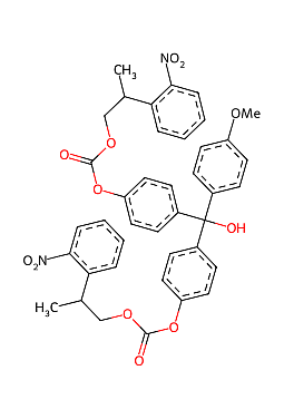 COc1ccc(C(O)(c2ccc(OC(=O)OCC(C)c3ccccc3[N+](=O)[O-])cc2)c2ccc(OC(=O)OCC(C)c3ccccc3[N+](=O)[O-])cc2)cc1